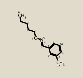 CCCCCO/N=[C]/c1cccc(C)c1